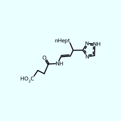 CCCCCCCC(C=CNC(=O)CCC(=O)O)c1nc[nH]n1